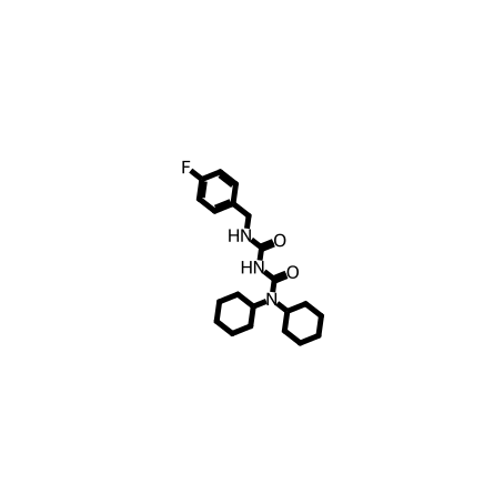 O=C(NCc1ccc(F)cc1)NC(=O)N(C1CCCCC1)C1CCCCC1